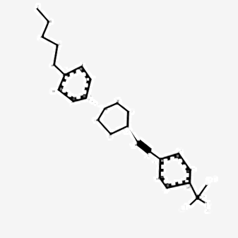 CCCCCc1ccc([C@H]2CC[C@H](C#Cc3ccc(C(F)(F)F)cc3)CC2)cc1